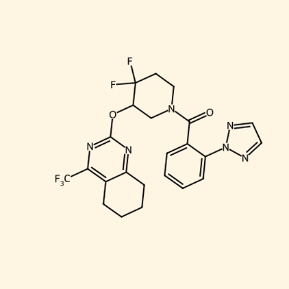 O=C(c1ccccc1-n1nccn1)N1CCC(F)(F)C(Oc2nc3c(c(C(F)(F)F)n2)CCCC3)C1